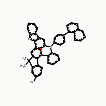 CC(C)(C)c1ccc2c(c1)C(C)(C)c1cccc(-c3ccccc3N(c3ccc(-c4cccc5ccccc45)cc3)c3ccc4oc5ccccc5c4c3)c1-2